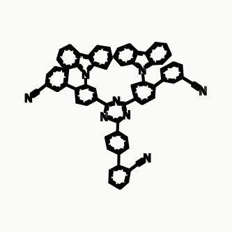 N#Cc1cccc(-c2ccc(-c3nc(-c4ccc(-c5ccccc5C#N)cc4)nc(-c4ccc(-c5cccc(C#N)c5)c(-n5c6ccccc6c6ccccc65)c4)n3)cc2-n2c3ccccc3c3ccccc32)c1